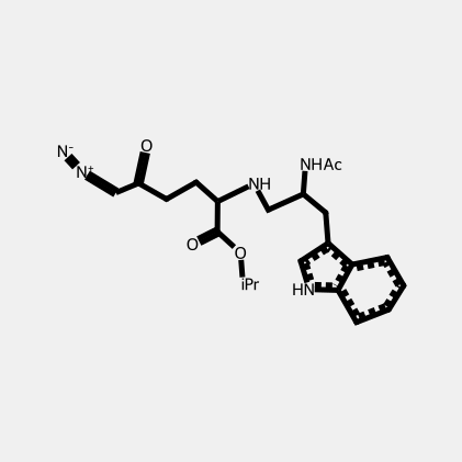 CC(=O)NC(CNC(CCC(=O)C=[N+]=[N-])C(=O)OC(C)C)Cc1c[nH]c2ccccc12